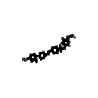 Cc1ccc(C2CCC(/C=C/C3CCC(C(F)(F)Oc4ccc(OC(F)(F)F)c(F)c4)CC3)CC2)c(F)c1